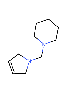 C1=CCN(CN2CCCCC2)C1